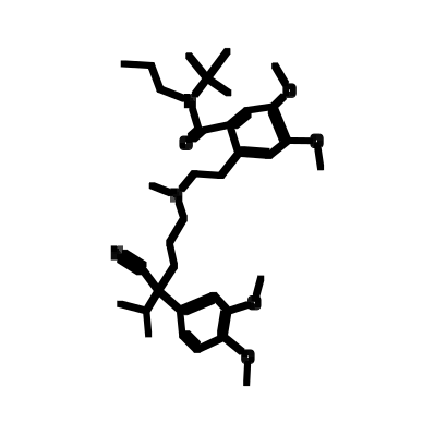 CCCN(C(=O)c1cc(OC)c(OC)cc1CCN(C)CCCC(C#N)(c1ccc(OC)c(OC)c1)C(C)C)C(C)(C)C